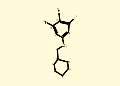 Fc1[c]c(OCC2CCCCC2)cc(F)c1F